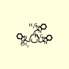 Cn1c(CN2CCN(Cc3nc4ccccc4n3C)CCN(Cc3nc4ccccc4n3C)CC2)nc2ccccc21